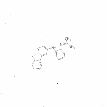 C/C(N)=N/c1ccccc1Nc1ccc2sc3ccccc3c2c1